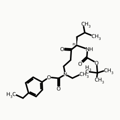 CCc1ccc(OC(=O)N(CC)CCC(=O)[C@@H](CC(C)C)NC(=O)OC(C)(C)C)cc1